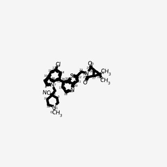 CN1CCC(C#N)(Cn2ccc3cc(Cl)cc(-c4ccnc5cc(CN6C(=O)C7C(C6=O)C7(C)C)sc45)c32)CC1